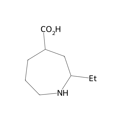 CCC1CC(C(=O)O)CCCN1